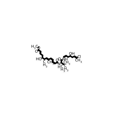 COC(=O)/C=C/C[C@H](O)[C@@H](C)/C=C(C)/C=C\C=C/C(=O)N[C@H](C(=O)N/C=C\C[C@@H](O)C/C=C(\C)Cl)C(C)(C)C